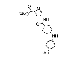 CC(C)(C)OC(=O)n1cc(NC(=O)C2CCC(Nc3ccc(C(C)(C)C)cc3)CC2)cn1